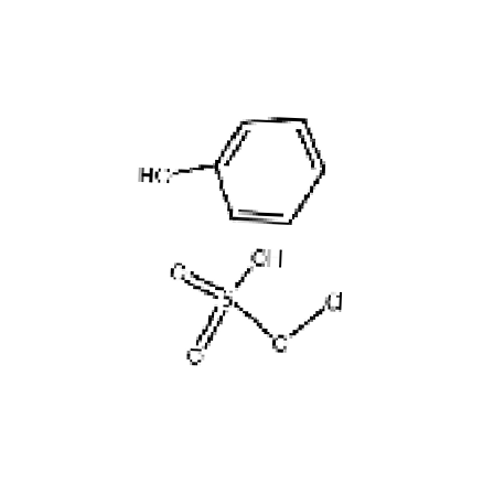 O=S(=O)(O)OCl.Oc1ccccc1